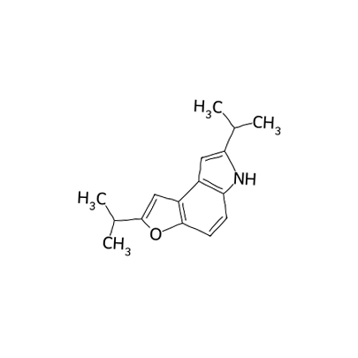 CC(C)c1cc2c(ccc3oc(C(C)C)cc32)[nH]1